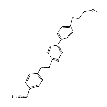 CCCCc1ccc(-c2cnc(CCc3ccc(N=C=S)cc3)nc2)cc1